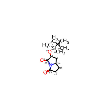 CC(C)(C)[Si](C)(C)OC1CC2CCC(=O)N2C1=O